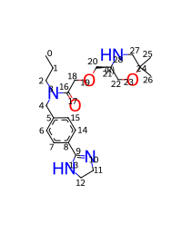 CCCN(Cc1ccc(C2=NCCN2)cc1)C(=O)COC[C@@H]1COC(C)(C)CN1